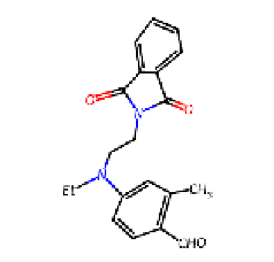 CCN(CCN1C(=O)c2ccccc2C1=O)c1ccc(C=O)c(C)c1